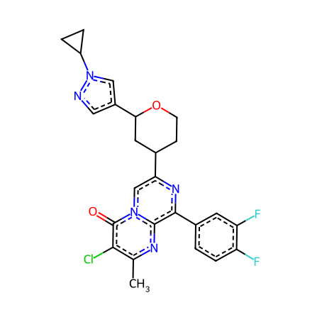 Cc1nc2c(-c3ccc(F)c(F)c3)nc(C3CCOC(c4cnn(C5CC5)c4)C3)cn2c(=O)c1Cl